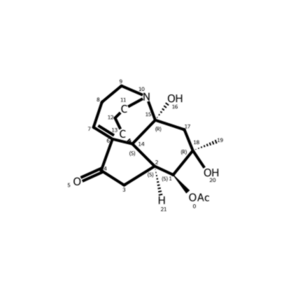 CC(=O)O[C@H]1[C@H]2CC(=O)C3=CCCN4CCC[C@@]32[C@]4(O)C[C@@]1(C)O